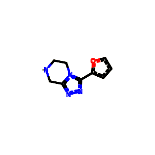 c1coc(-c2nnc3n2CC[N]C3)c1